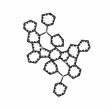 c1ccc(N(c2ccccc2)c2c3ccccc3cc3c4cccc5c6cc7c(cc6n(c23)c54)c2cc3ccccc3c3c4cccc(N(c5ccccc5)c5ccccc5)c4n7c23)cc1